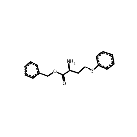 NC(CCSc1ccccc1)C(=O)OCc1ccccc1